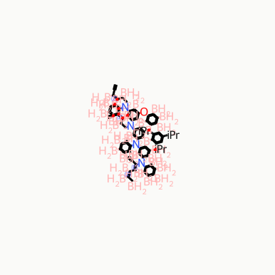 BC/C(B)=C(B)\C(B)=C(/C#C)N(c1c(B)c(B)c(B)c(B)c1B)c1c(B)c(B)c2c(c1B)N(c1c(B)c(B)c(B)c(B)c1B)c1c(cc3c(c1B)N(CC(B)/C(B)=C(/B)C#C)c1c(B)c(N(CC(B)/C(B)=C(/B)C#C)c4c(B)c(B)c(B)c(B)c4B)c(B)c4c1B3c1c(B)c(B)c(B)c(B)c1O4)B2c1c(C(C)C)cc(C(C)C)cc1C(C)C